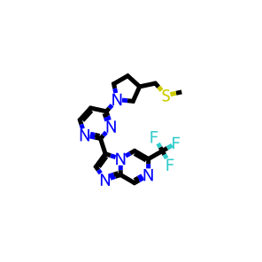 CSCC1CCN(c2ccnc(-c3cnc4cnc(C(F)(F)F)cn34)n2)C1